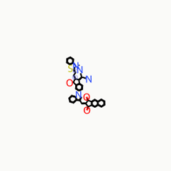 CN1/C(=C/C=C2/C(=O)c3cc(-n4cc(C=C5C(=O)c6cc7ccccc7cc6C5=O)c5ccccc54)ccc3C2=C(C#N)C#N)Sc2ccccc21